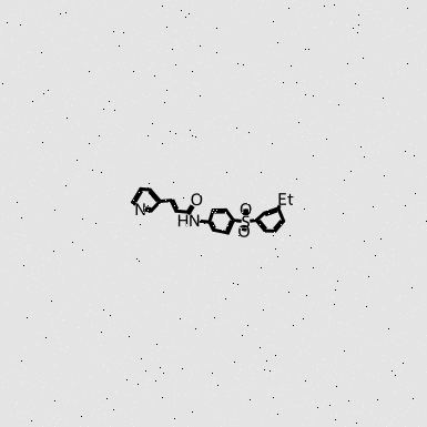 CCc1cccc(S(=O)(=O)c2ccc(NC(=O)C=Cc3cccnc3)cc2)c1